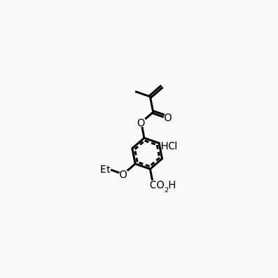 C=C(C)C(=O)Oc1ccc(C(=O)O)c(OCC)c1.Cl